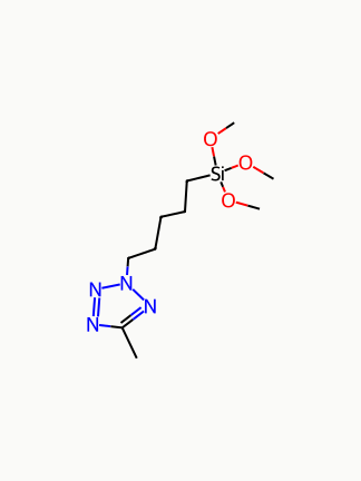 CO[Si](CCCCCn1nnc(C)n1)(OC)OC